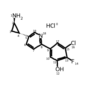 Cl.N[C@@H]1C[C@H]1c1ccc(-c2cc(O)c(F)c(Cl)c2)nc1